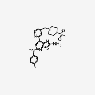 Cc1ccc(N(C)c2cc(-c3cc(CN4CCC(S(C)(=O)=O)CC4)ccn3)c3nc(N)sc3n2)cc1